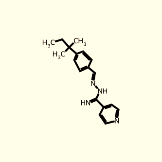 CCC(C)(C)c1ccc(C=NNC(=N)c2ccncc2)cc1